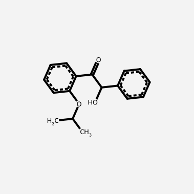 CC(C)Oc1ccccc1C(=O)C(O)c1ccccc1